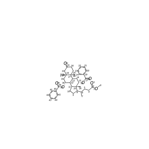 COC(=O)CCC(C)C1CCC2C3C(C[C@H](OC(=O)c4ccccc4)[C@]12C)[C@@]1(C)CCC(=O)C[C@H]1C[C@H]3OC(=O)c1ccccc1